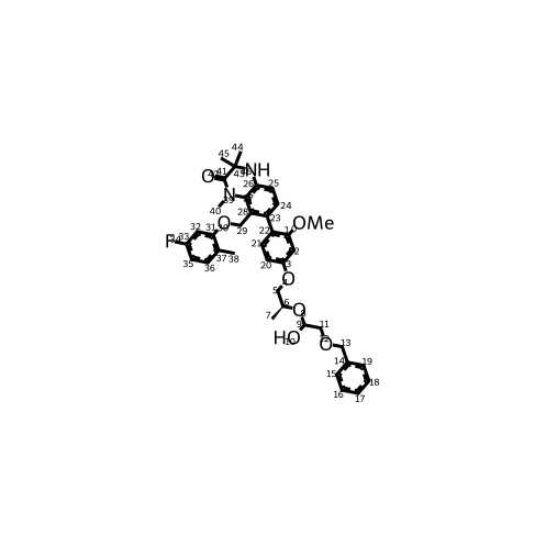 COc1cc(OC[C@H](C)OC(O)COCc2ccccc2)ccc1-c1ccc2c(c1COc1cc(F)ccc1C)N(C)C(=O)C(C)(C)N2